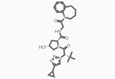 CC(C)(C)[C@@H](C(=O)N1C[C@H](O)C[C@H]1C(=O)NCC(=O)N1CCCCc2ccccc21)n1cc(C2CC2)nn1